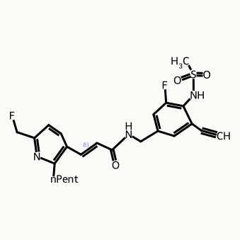 C#Cc1cc(CNC(=O)/C=C/c2ccc(CF)nc2CCCCC)cc(F)c1NS(C)(=O)=O